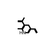 C=CC1=CNC(C)=C(C(=C)C)C1